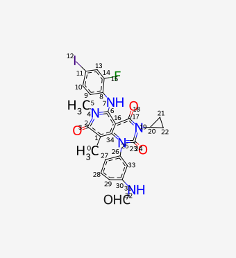 Cc1c(=O)n(C)c(Nc2ccc(I)cc2F)c2c(=O)n(C3CC3)c(=O)n(-c3cccc(NC=O)c3)c12